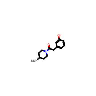 CNC1CCN(C(=O)Cc2cccc(O)c2)CC1